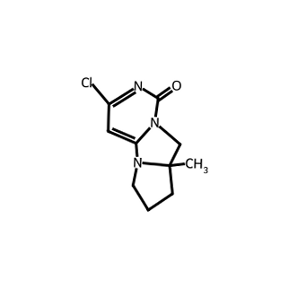 CC12CCCN1c1cc(Cl)nc(=O)n1C2